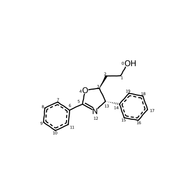 OCC[C@@H]1OC(c2ccccc2)=N[C@H]1c1ccccc1